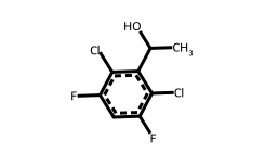 CC(O)c1c(Cl)c(F)cc(F)c1Cl